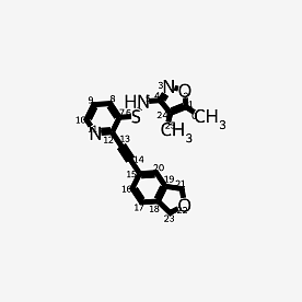 Cc1onc(NSc2cccnc2C#Cc2ccc3c(c2)COC3)c1C